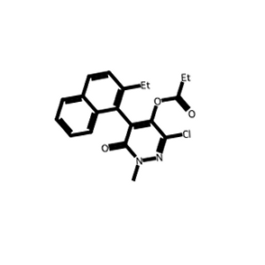 CCC(=O)Oc1c(Cl)nn(C)c(=O)c1-c1c(CC)ccc2ccccc12